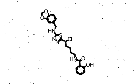 O=C(NCCCCC(Cl)c1nnc(NCc2ccc3c(c2)OCO3)s1)c1ccccc1O